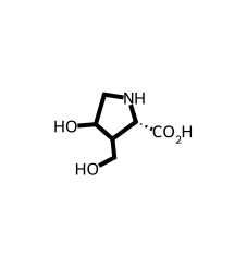 O=C(O)[C@H]1NCC(O)C1CO